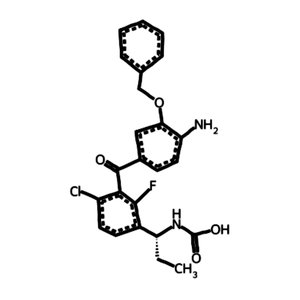 CC[C@@H](NC(=O)O)c1ccc(Cl)c(C(=O)c2ccc(N)c(OCc3ccccc3)c2)c1F